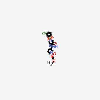 COCCOC(=O)N1CCCC(C2=NC3(CCN(S(=O)(=O)c4cccc(Cl)c4)CC3)C(=O)N2)C1